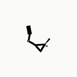 C#COC1C[C@H]1C